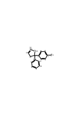 Fc1ccc(C2(c3ccccc3)CC=NO2)cc1